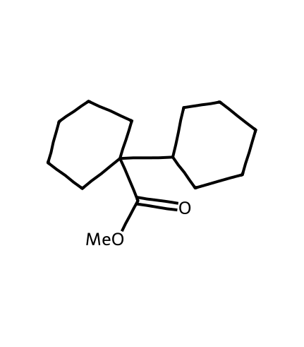 COC(=O)C1(C2CCCCC2)CCCCC1